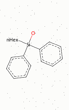 CCCCCC[Si]([O])(c1ccccc1)c1ccccc1